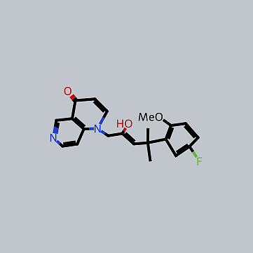 COc1ccc(F)cc1C(C)(C)/C=C(\O)Cn1ccc(=O)c2cnccc21